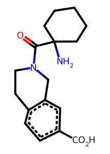 NC1(C(=O)N2CCc3ccc(C(=O)O)cc3C2)CCCCC1